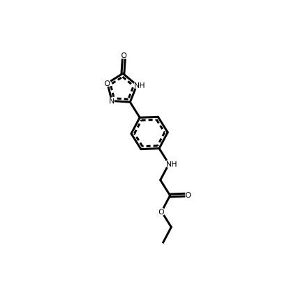 CCOC(=O)CNc1ccc(-c2noc(=O)[nH]2)cc1